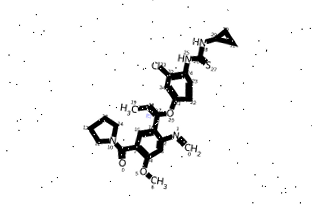 C=Nc1cc(OC)c(C(=O)N2CCCC2)cc1/C(=C\C)Oc1ccc(NC(=S)NC2CC2)c(Cl)c1